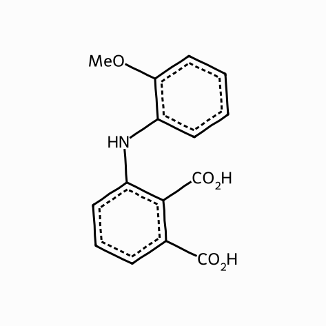 COc1ccccc1Nc1cccc(C(=O)O)c1C(=O)O